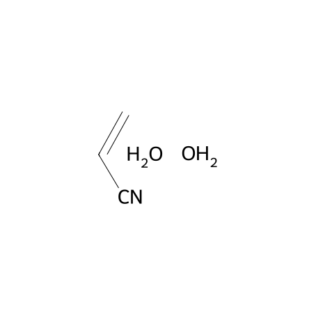 C=CC#N.O.O